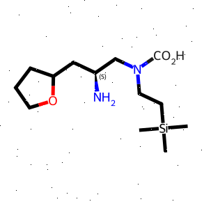 C[Si](C)(C)CCN(C[C@@H](N)CC1CCCO1)C(=O)O